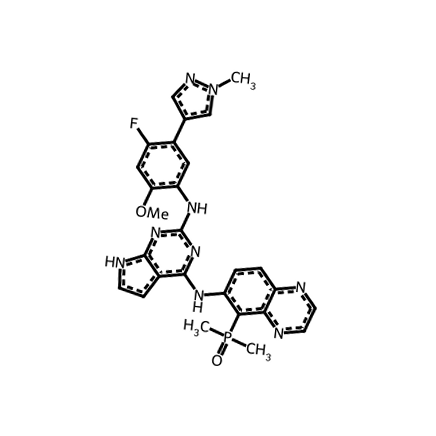 COc1cc(F)c(-c2cnn(C)c2)cc1Nc1nc(Nc2ccc3nccnc3c2P(C)(C)=O)c2cc[nH]c2n1